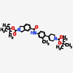 Cc1cc(NC(=O)c2ccc3c(c2)CN(C(=O)OC(C)(C)C)C3)ccc1C1=CCN(C(=O)OC(C)(C)C)CC1